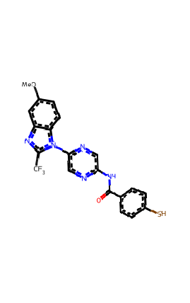 COc1ccc2c(c1)nc(C(F)(F)F)n2-c1cnc(NC(=O)c2ccc(S)cc2)cn1